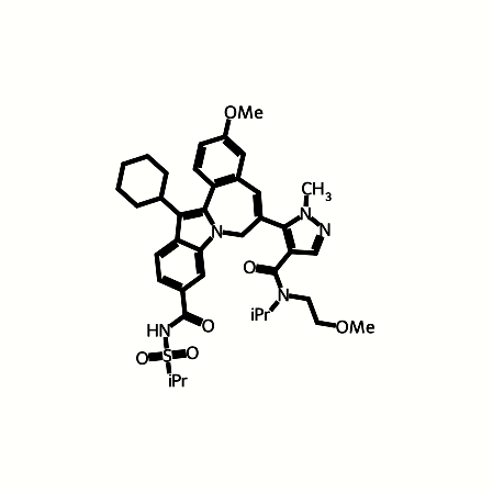 COCCN(C(=O)c1cnn(C)c1C1=Cc2cc(OC)ccc2-c2c(C3CCCCC3)c3ccc(C(=O)NS(=O)(=O)C(C)C)cc3n2C1)C(C)C